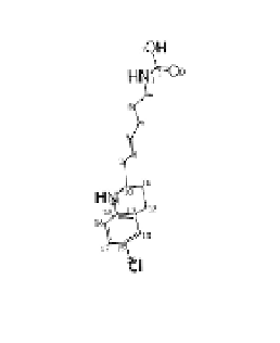 O=C(O)NCCCCCCC1CCc2cc(Cl)ccc2N1